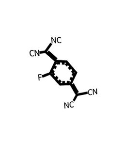 [C-]#[N+]C([N+]#[C-])=c1ccc(=C(C#N)C#N)cc1F